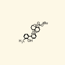 Cc1cccc(-c2cccc(N3CC[C@@H](C(=O)OC(C)(C)C)[C@H]4OCCC[C@@H]43)n2)c1O